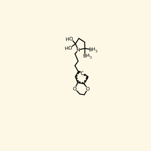 BC1(B)CCC(O)(O)N1CCCc1ccc2c(c1)OCCO2